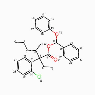 CCCC(C)C(CC)(C(=O)OC(Oc1ccccc1)c1ccccc1)c1ccccc1Cl